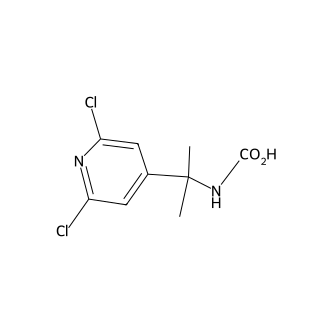 CC(C)(NC(=O)O)c1cc(Cl)nc(Cl)c1